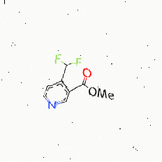 COC(=O)c1cnccc1C(F)F